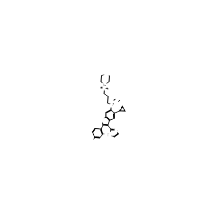 CS(=O)(=O)N(CCCS(=O)(=O)N1CCOCC1)c1cc2oc(-c3ccc(F)cc3)c(-c3ncc[nH]3)c2cc1C1CC1